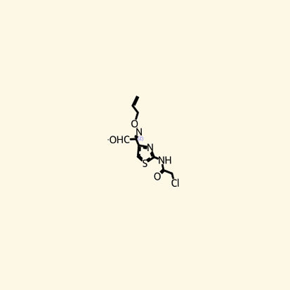 C=CCO/N=C(\[C]=O)c1csc(NC(=O)CCl)n1